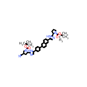 CC(C)(C)OC(=O)N1CCCC1c1ncc(-c2ccc3cc(-c4ccc(-c5cnc(C6CC(C#N)CN6C(=O)OC(C)(C)C)[nH]5)cc4)ccc3c2)[nH]1